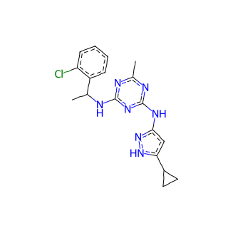 Cc1nc(Nc2cc(C3CC3)[nH]n2)nc(NC(C)c2ccccc2Cl)n1